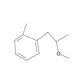 CO[C](C)Cc1ccccc1C